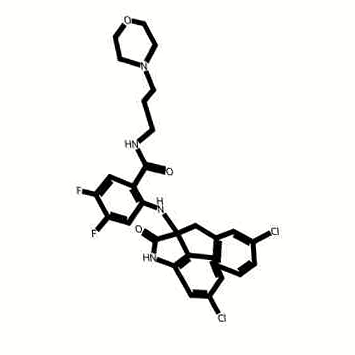 O=C(NCCCN1CCOCC1)c1cc(F)c(F)cc1NC1(Cc2cccc(Cl)c2)C(=O)Nc2cc(Cl)ccc21